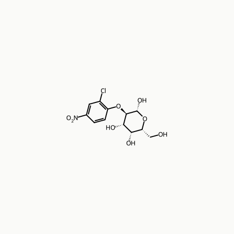 O=[N+]([O-])c1ccc(O[C@@H]2[C@@H](O)[C@@H](O)[C@@H](CO)O[C@H]2O)c(Cl)c1